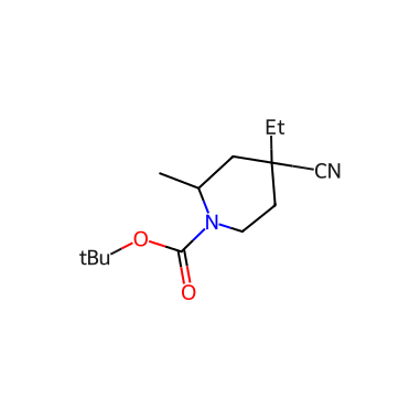 CCC1(C#N)CCN(C(=O)OC(C)(C)C)C(C)C1